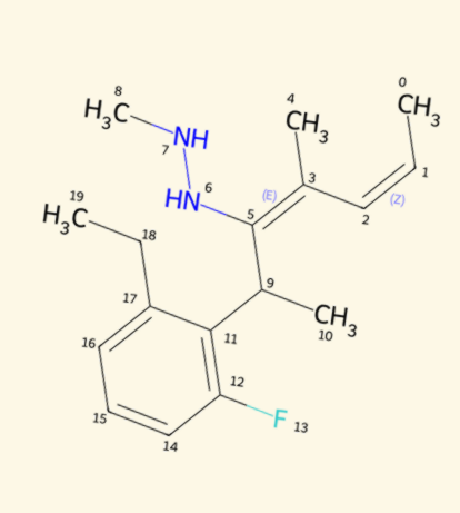 C/C=C\C(C)=C(\NNC)C(C)c1c(F)cccc1CC